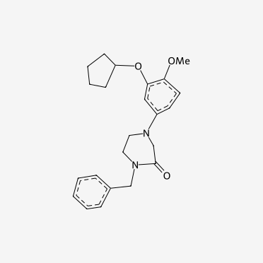 COc1ccc(N2CCN(Cc3ccccc3)C(=O)C2)cc1OC1CCCC1